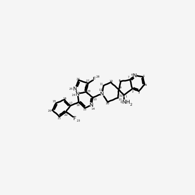 N[C@@H]1c2cccnc2CC12CCN(c1ncc(-c3ccccc3F)n3ncc(F)c13)CC2